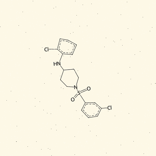 O=S(=O)(c1cccc(Cl)c1)N1CCC(Nc2ccccc2Cl)CC1